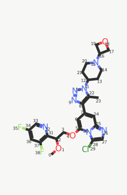 COC(COc1cc(-c2nnn(C3CCN(C4COC4)CC3)c2C)cc2ncc(Cl)n12)c1ncc(F)cc1F